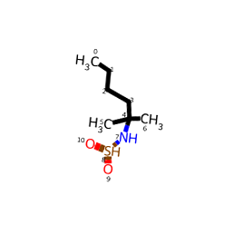 CCCCC(C)(C)N[SH](=O)=O